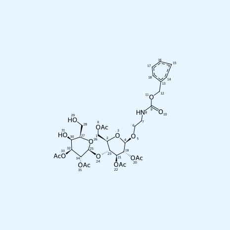 CC(=O)OC[C@H]1O[C@@H](OCCNC(=O)OCc2ccccc2)[C@H](OC(C)=O)[C@@H](OC(C)=O)[C@@H]1O[C@@H]1O[C@H](CO)[C@H](O)[C@H](OC(C)=O)[C@H]1OC(C)=O